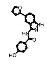 O=C(Nc1n[nH]c2ccc(-c3ccco3)cc12)c1ccc(O)cc1